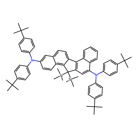 CC(C)(C)c1ccc(N(c2ccc(C(C)(C)C)cc2)c2ccc3c4c(ccc3c2)-c2c(cc(N(c3ccc(C(C)(C)C)cc3)c3ccc(C(C)(C)C)cc3)c3ccccc23)C4([Si](C)(C)C)[Si](C)(C)C)cc1